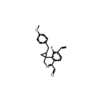 C=Cc1ccc2c(c1F)C1(CN=C2C=O)CC1Cc1ccc(OC)cc1